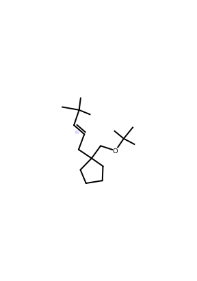 CC(C)(C)/C=C/CC1(COC(C)(C)C)CCCC1